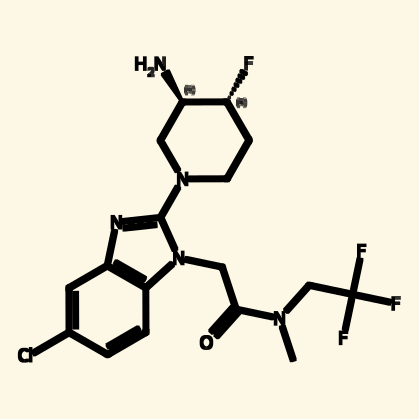 CN(CC(F)(F)F)C(=O)Cn1c(N2CC[C@@H](F)[C@H](N)C2)nc2cc(Cl)ccc21